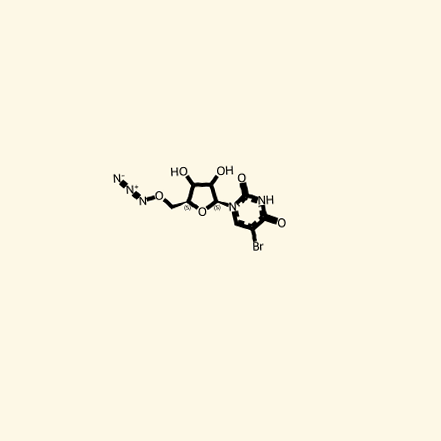 [N-]=[N+]=NOC[C@@H]1O[C@H](n2cc(Br)c(=O)[nH]c2=O)C(O)C1O